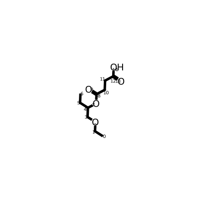 CCOCC(CC)OC(=O)CCC(=O)O